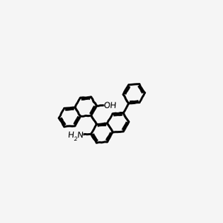 Nc1ccc2ccc(-c3ccccc3)cc2c1-c1c(O)ccc2ccccc12